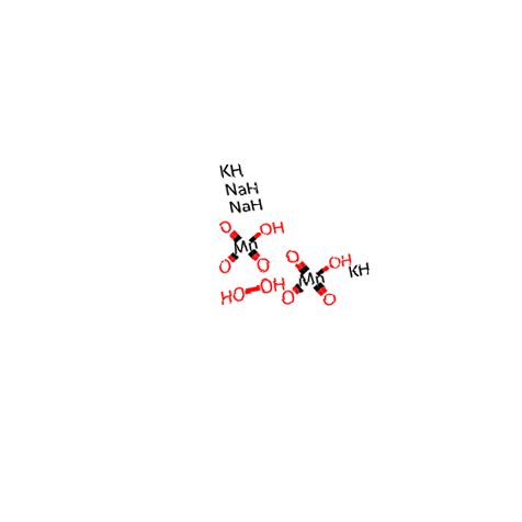 OO.[KH].[KH].[NaH].[NaH].[O]=[Mn](=[O])(=[O])[OH].[O]=[Mn](=[O])(=[O])[OH]